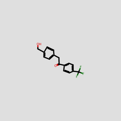 O=C(Cc1ccc(CO)cc1)c1ccc(C(F)(F)F)cc1